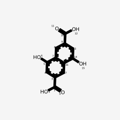 O=C(O)c1cc(O)c2cc(C(=O)O)cc(O)c2c1